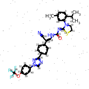 Cc1ccc(C(C)C)c(N2CCS/C2=N\C(=O)N/C=C(\C#N)c2ccc(-c3ncn(-c4ccc(OC(F)(F)F)cc4)n3)cc2)c1